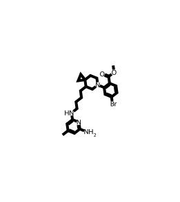 COC(=O)c1ccc(Br)cc1N1CCC2(CC2)C(CCCCNc2cc(C)cc(N)n2)C1